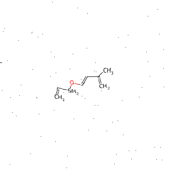 C=C[SiH2]OC=CC(=C)C